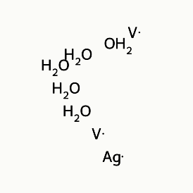 O.O.O.O.O.[Ag].[V].[V]